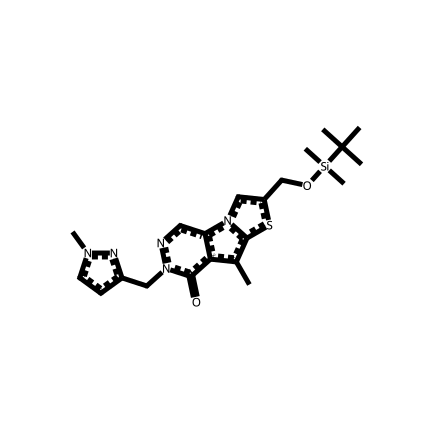 Cc1c2c(=O)n(Cc3ccn(C)n3)ncc2n2cc(CO[Si](C)(C)C(C)(C)C)sc12